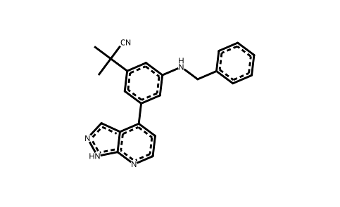 CC(C)(C#N)c1cc(NCc2ccccc2)cc(-c2ccnc3[nH]ncc23)c1